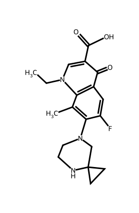 CCn1cc(C(=O)O)c(=O)c2cc(F)c(N3CCNC4(CC4)C3)c(C)c21